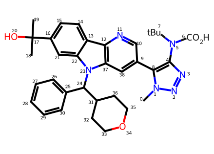 Cn1nnc(N(C(=O)O)C(C)(C)C)c1-c1cnc2c3ccc(C(C)(C)O)cc3n(C(c3ccccc3)C3CCOCC3)c2c1